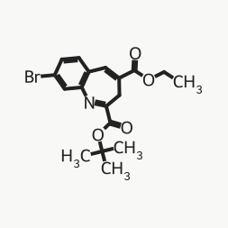 CCOC(=O)C1=Cc2ccc(Br)cc2N=C(C(=O)OC(C)(C)C)C1